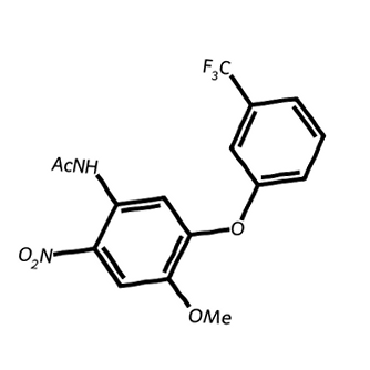 COc1cc([N+](=O)[O-])c(NC(C)=O)cc1Oc1cccc(C(F)(F)F)c1